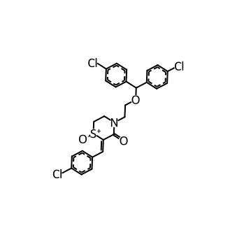 O=C1C(=Cc2ccc(Cl)cc2)[S+]([O-])CCN1CCOC(c1ccc(Cl)cc1)c1ccc(Cl)cc1